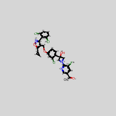 O=NC(=O)c1cnc(N2CC(O)(c3ccc(OCc4c(-c5c(Cl)cccc5Cl)noc4C4CC4)cc3Cl)C2)c(F)c1